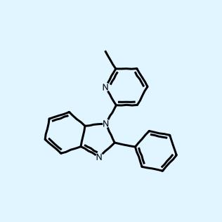 Cc1cccc(N2C3C=CC=CC3=NC2c2ccccc2)n1